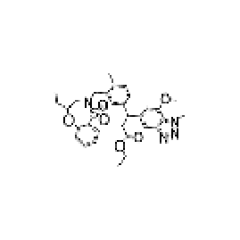 CCOC(=O)CC(c1ccc(C)c(CN2CC(CC)Oc3ccccc3S2(=O)=O)c1)c1cc(OC)c2c(c1)nnn2C